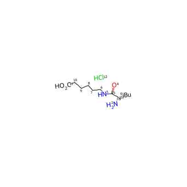 CC[C@H](C)[C@H](N)C(=O)NCCCCCC(=O)O.Cl